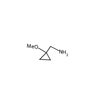 COC1(CN)CC1